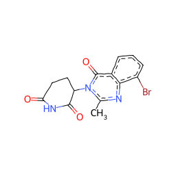 Cc1nc2c(Br)cccc2c(=O)n1C1CCC(=O)NC1=O